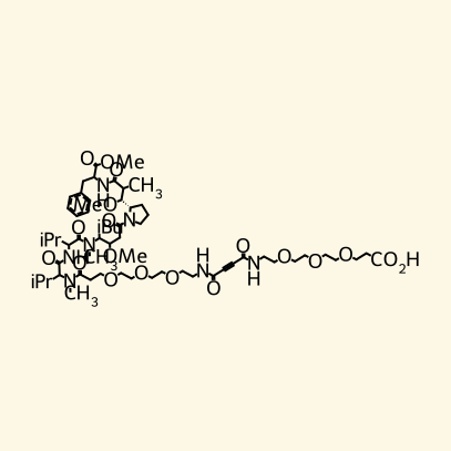 CCC(C)C(C(CC(=O)N1CCC[C@H]1C(OC)C(C)C(=O)NC(Cc1ccccc1)C(=O)OC)OC)N(C)C(=O)C(NC(=O)C(C(C)C)N(C)C(=O)CCOCCOCCOCCNC(=O)C#CC(=O)NCCOCCOCCOCCC(=O)O)C(C)C